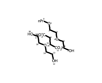 CCCOCCOCCO.O=C(O)CCC(=O)O.OCCOCCO